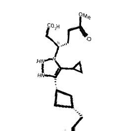 COC(=O)CC[C@@H](CC(=O)O)N1NNC([C@H]2C[C@@H](CC(C)(C)C)C2)=C1C1CC1